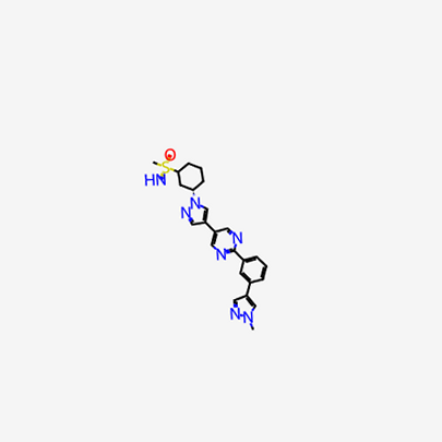 Cn1cc(-c2cccc(-c3ncc(-c4cnn([C@H]5CCCC(S(C)(=N)=O)C5)c4)cn3)c2)cn1